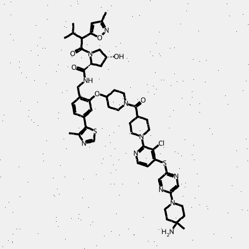 Cc1cc(C(C(=O)N2C[C@H](O)C[C@H]2C(=O)NCc2ccc(-c3scnc3C)cc2OC2CCN(C(=O)C3CCN(c4nccc(Sc5cnc(N6CCC(C)(N)CC6)cn5)c4Cl)CC3)CC2)C(C)C)on1